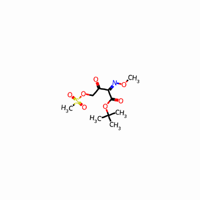 CON=C(C(=O)COS(C)(=O)=O)C(=O)OC(C)(C)C